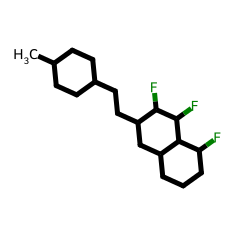 CC1CCC(CCC2CC3CCCC(F)C3C(F)C2F)CC1